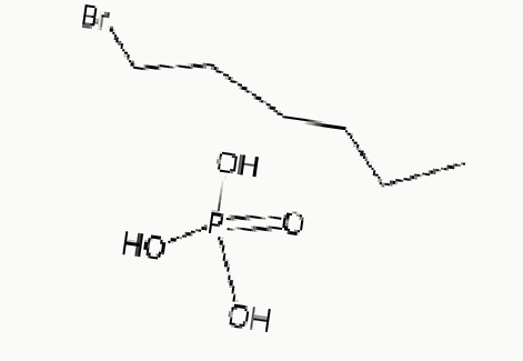 CCCCCCBr.O=P(O)(O)O